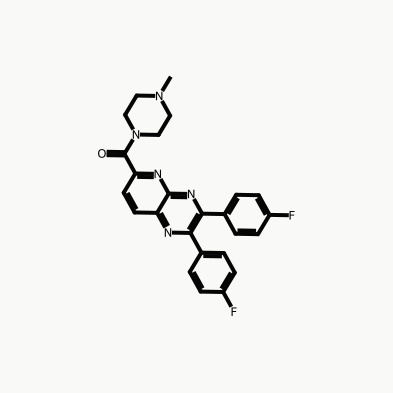 CN1CCN(C(=O)c2ccc3nc(-c4ccc(F)cc4)c(-c4ccc(F)cc4)nc3n2)CC1